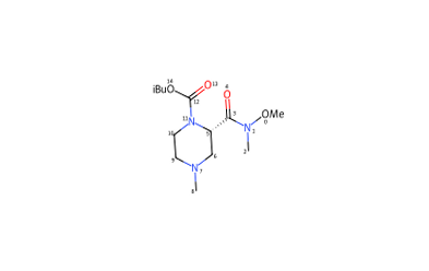 CON(C)C(=O)[C@@H]1CN(C)CCN1C(=O)OCC(C)C